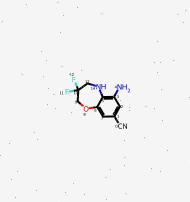 N#Cc1cc(N)c2c(c1)OCC(F)(F)CN2